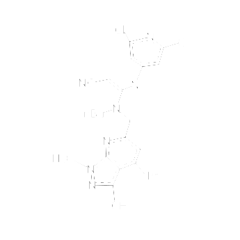 CCCCN(Cc1cc(C(C)C)c2c(C)nn(C)c2n1)/C(=C\C#N)Nc1cc(Cl)nc(Cl)c1